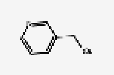 CC(C)(C)Cc1cccnc1